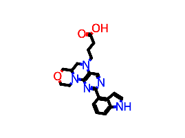 O=C(O)CCCN1CC2COCCN2c2nc(-c3cccc4[nH]ccc34)ncc21